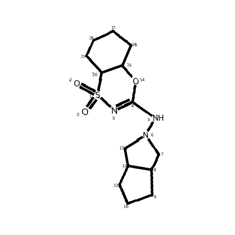 O=S1(=O)N=C(NN2CC3CCCC3C2)OC2CCCCC21